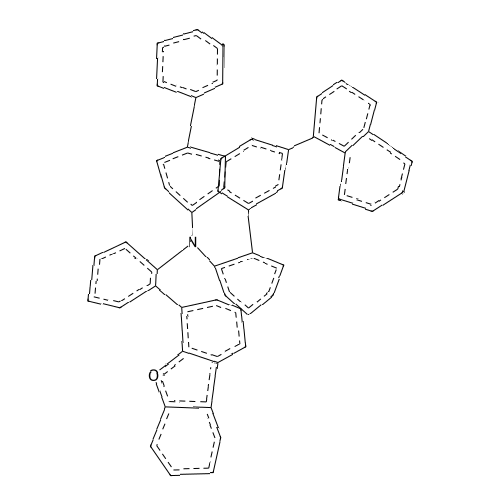 c1ccc(-c2ccc(N(c3ccccc3-c3cccc(-c4cccc5ccccc45)c3)c3ccccc3-c3cccc4c3oc3ccccc34)cc2)cc1